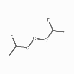 CC(F)OOOC(C)F